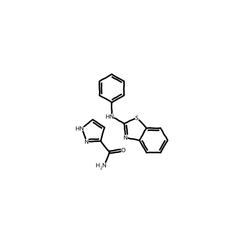 NC(=O)c1cc[nH]n1.c1ccc(Nc2nc3ccccc3s2)cc1